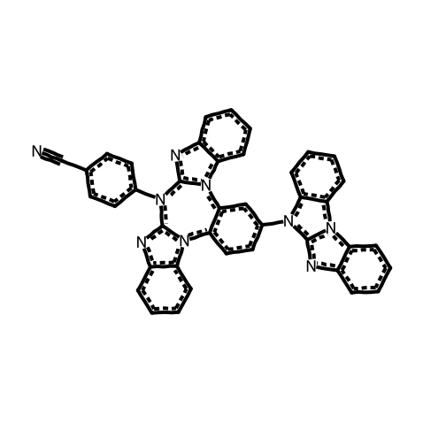 N#Cc1ccc(-n2c3nc4ccccc4n3c3ccc(-n4c5ccccc5n5c6ccccc6nc45)cc3n3c4ccccc4nc23)cc1